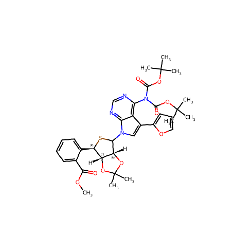 COC(=O)c1ccccc1[C@H]1SC(n2cc(-c3ccco3)c3c(N(C(=O)OC(C)(C)C)C(=O)OC(C)(C)C)ncnc32)[C@@H]2OC(C)(C)O[C@H]12